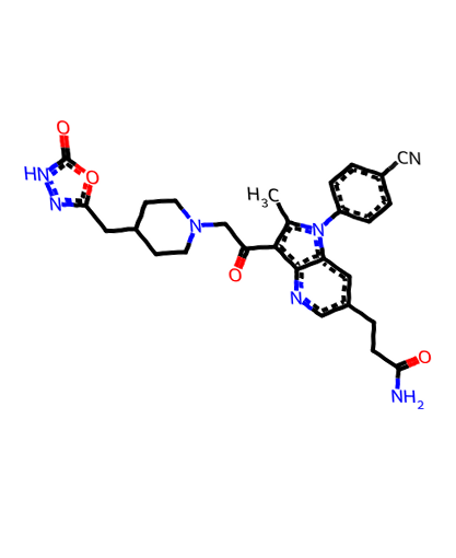 Cc1c(C(=O)CN2CCC(Cc3n[nH]c(=O)o3)CC2)c2ncc(CCC(N)=O)cc2n1-c1ccc(C#N)cc1